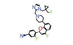 N#Cc1ccc([C@@H]2C=C(F)c3cccc(C4CCN(Cc5nccn5CC5(CF)CC5)CC4)c3O2)c(F)c1